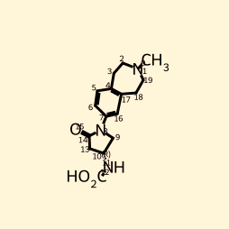 CN1CCc2ccc(N3C[C@H](NC(=O)O)CC3=O)cc2CC1